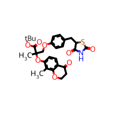 Cc1c(OC(C)(COc2ccc(CC3SC(=O)NC3=O)cc2)C(=O)OC(C)(C)C)ccc2c1OCCC2=O